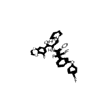 O=C(NC(CN1CCCC1)C(O)c1cc(F)c2c(c1)OCCO2)C(F)(F)c1cccc(Oc2ccc(F)cc2)c1